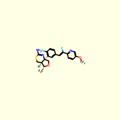 NC1=N[C@@]2(c3cc(/C=C(\F)c4ccc(OC(F)(F)F)cn4)ccc3F)CO[C@H](C(F)(F)F)[C@H]2CS1